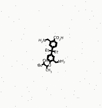 CCC(CC)(c1ccc(OC(C)C(O)C(C)(C)C)c(CN)c1)c1ccc(C(=O)O)c(CN)c1